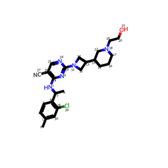 Cc1ccc(C(C)Nc2nc(N3CC(C4CCCN(CCO)C4)C3)ncc2C#N)c(Cl)c1